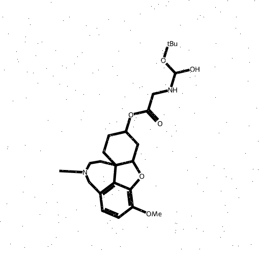 COc1ccc2c3c1OC1CC(OC(=O)CNC(O)OC(C)(C)C)CCC31CCN(C)C2